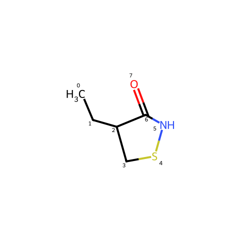 CCC1CSNC1=O